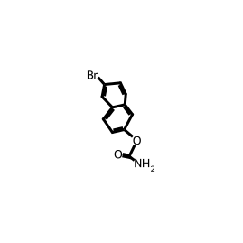 NC(=O)Oc1ccc2cc(Br)ccc2c1